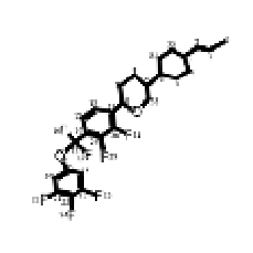 CCCC1CCC(C2CCC(c3ccc(C(F)(F)Oc4cc(F)c(F)c(F)c4)c(F)c3F)OC2)CC1